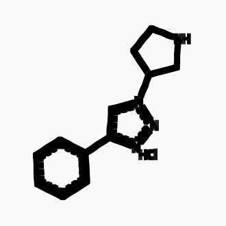 Cl.c1ccc(-c2cn(C3CCNC3)nn2)cc1